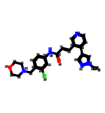 Cn1cc(-c2ccncc2C=CC(=O)Nc2ccc(CN3CCOCC3)c(Cl)c2)cn1